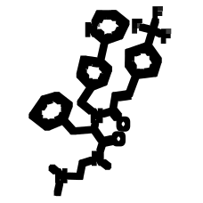 CN(C)CCN(C)C(=O)C(Cc1ccccc1)N(Cc1ccc(-c2ccccn2)cc1)C(=O)C=Cc1ccc(C(F)(F)F)cc1